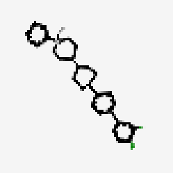 CCC[Si@]1(c2ccccc2)CC[C@H](C2CCC(c3ccc(-c4ccc(F)c(F)c4)cc3)CC2)CC1